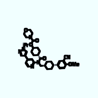 COc1ccc([C@H]2CC[C@H](CN(c3cc(-c4cnn(C(C)C)c4)ccn3)C(=O)[C@H]3CC[C@H](OC(=O)N4CCOCC4)CC3)CC2)cc1C#N